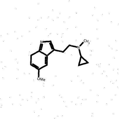 COC1=CCC2=NC=C(CCN(C)C3CC3)C2=C1